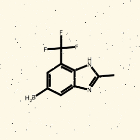 Bc1cc(C(F)(F)F)c2[nH]c(C)nc2c1